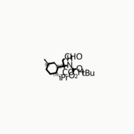 CC(C)[C@@H]1CC[C@@H](C)C[C@H]1[C@](CC=O)(NC(=O)OC(C)(C)C)C(=O)O